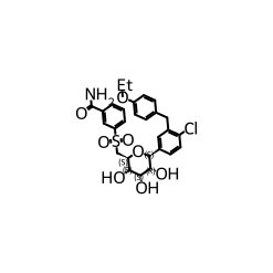 CCOc1ccc(Cc2cc([C@@H]3O[C@H](CS(=O)(=O)c4cccc(C(N)=O)c4)[C@H](O)[C@@H](O)[C@H]3O)ccc2Cl)cc1